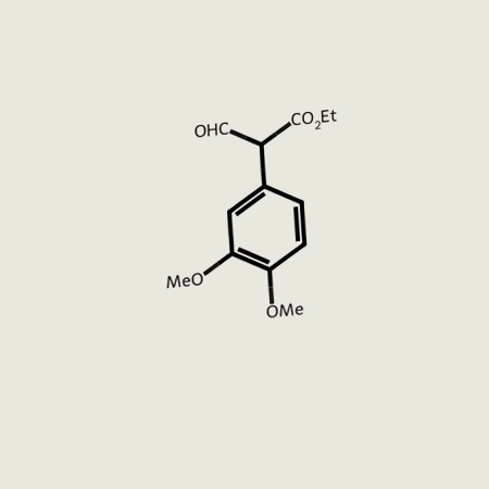 CCOC(=O)C(C=O)c1ccc(OC)c(OC)c1